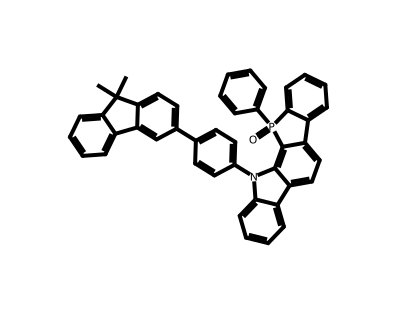 CC1(C)c2ccccc2-c2cc(-c3ccc(-n4c5ccccc5c5ccc6c(c54)P(=O)(c4ccccc4)c4ccccc4-6)cc3)ccc21